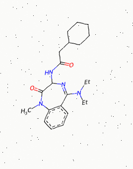 CCN(CC)C1=NC(NC(=O)CC2CCCCC2)C(=O)N(C)c2ccccc21